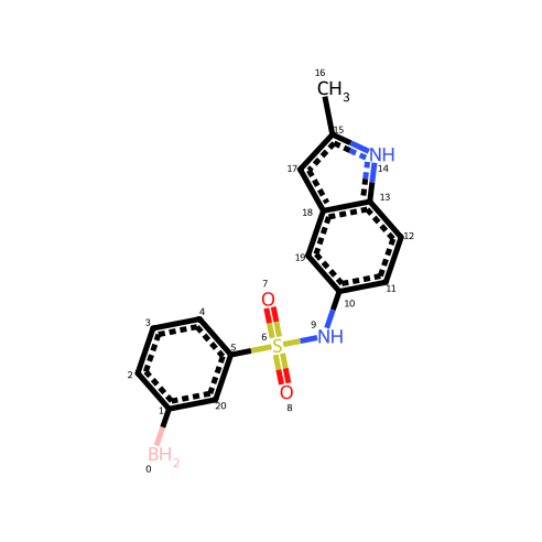 Bc1cccc(S(=O)(=O)Nc2ccc3[nH]c(C)cc3c2)c1